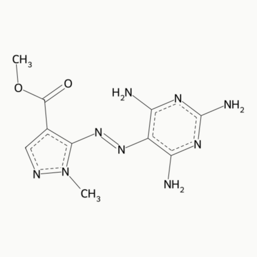 COC(=O)c1cnn(C)c1/N=N/c1c(N)nc(N)nc1N